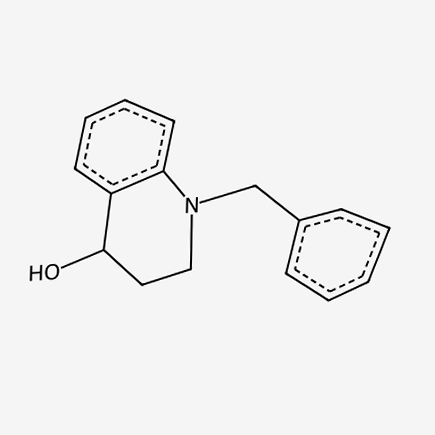 OC1CCN(Cc2ccccc2)c2ccccc21